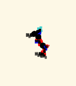 Cc1ccc(-c2cc(C(F)(F)F)nn2-c2ccc(S(=O)(=O)NC(=O)OC3CCN(/[N+]([O-])=N\OCOC(=O)C(C)C)CC3)cc2)cc1